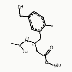 CB(O)N[C@H](CC(=O)OC(C)(C)C)Cc1cc(CO)ccc1C